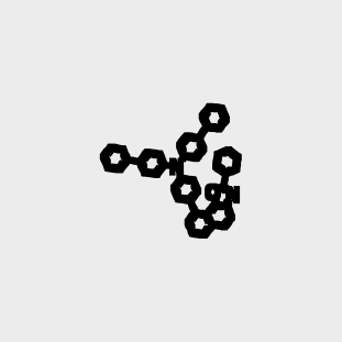 c1ccc(-c2ccc(N(c3ccc(-c4ccccc4)cc3)c3ccc(-c4cccc5ccc6nc(-c7ccccc7)oc6c45)cc3)cc2)cc1